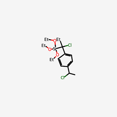 CCO[Si](OCC)(OCC)C(Cl)(CC)c1ccc(C(C)Cl)cc1